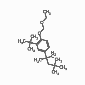 CCOCOc1ccc(C(C)(C)CC(C)(C)C)cc1S(C)(C)C